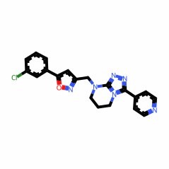 Clc1cccc(-c2cc(CN3CCCn4c(-c5ccncc5)nnc43)no2)c1